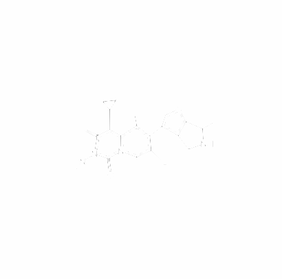 Cc1c(-c2csc3c2CNC3C)c(F)cn2c(=O)n(N)c(=O)c(C3CC3)c12